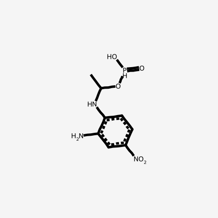 CC(Nc1ccc([N+](=O)[O-])cc1N)O[PH](=O)O